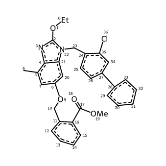 CCOc1nc2c(C)cc(OCc3ccccc3C(=O)OC)cc2n1Cc1ccc(-c2ccccc2)cc1Cl